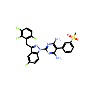 CS(=O)(=O)c1cccc(-c2c(N)nc(-n3nc(Cc4c(F)ccc(F)c4F)c4cc(F)ccc43)nc2N)c1